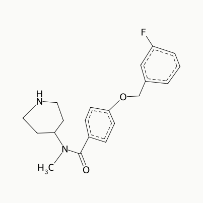 CN(C(=O)c1ccc(OCc2cccc(F)c2)cc1)C1CCNCC1